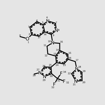 COc1ccc2ncnc(N3CCc4c(cc(Cn5ccnc5)cc4-c4cn(C)nc4C(F)(F)F)C3)c2c1